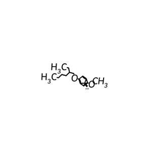 [C]=C1C2=CC(OCC(CC)CCCC)=C1C=C2OC